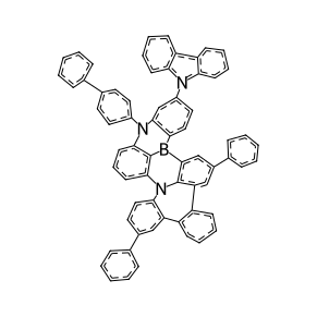 c1ccc(-c2ccc(N3c4cc(-n5c6ccccc6c6ccccc65)ccc4B4c5cc(-c6ccccc6)cc6c5N(c5ccc(-c7ccccc7)cc5-c5ccccc5-6)c5cccc3c54)cc2)cc1